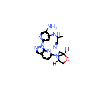 CC(C#N)Nc1cc(-n2ncc3ccc(N4C[C@H]5C[C@@H]4CO5)nc32)ncc1N